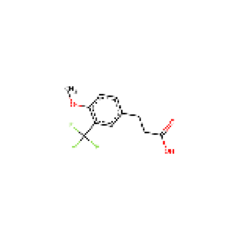 COc1ccc(CCC(=O)O)cc1C(F)(F)F